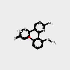 COc1cccc(OC)c1-c1nc(N)ncc1-c1ccc(=O)[nH]n1